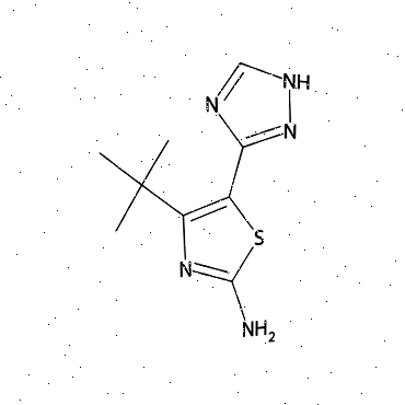 CC(C)(C)c1nc(N)sc1-c1nc[nH]n1